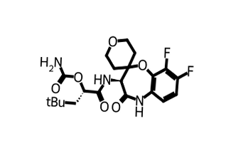 CC(C)(C)C[C@H](OC(N)=O)C(=O)N[C@@H]1C(=O)Nc2ccc(F)c(F)c2OC12CCOCC2